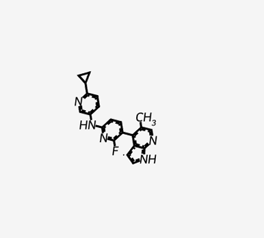 Cc1cnc2[nH]c[c]c2c1-c1ccc(Nc2ccc(C3CC3)nc2)nc1F